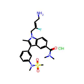 Cc1c(-c2cccc(N(C)S(C)(=O)=O)c2)c2cc(C(=O)N(C)C)ccc2n1C/C(F)=C/CN.Cl